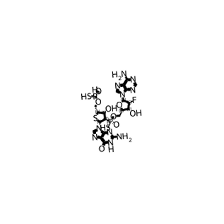 Nc1nc2c(ncn2[C@@H]2S[C@H](CO[PH](=O)S)[C@@H](O)[C@H]2[P@](=O)(S)OC[C@H]2O[C@@H](n3cnc4c(N)ncnc43)[C@@H](F)[C@@H]2O)c(=O)[nH]1